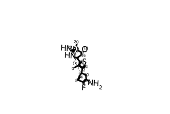 Cc1c(C2C=CC(F)=C(N)C2)csc1[C@]1(C)CC(=O)N(C)C(=N)N1